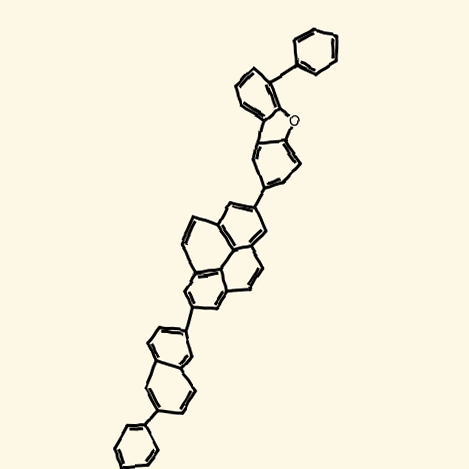 c1ccc(-c2ccc3cc(-c4cc5ccc6cc(-c7ccc8oc9c(-c%10ccccc%10)cccc9c8c7)cc7ccc(c4)c5c67)ccc3c2)cc1